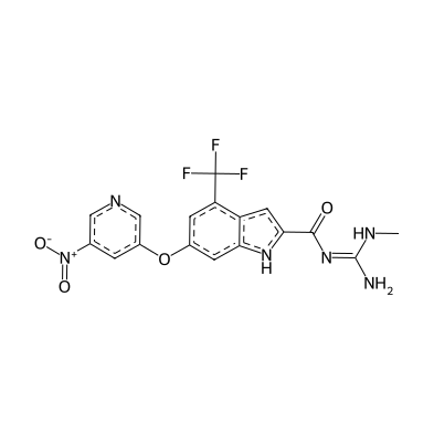 CNC(N)=NC(=O)c1cc2c(C(F)(F)F)cc(Oc3cncc([N+](=O)[O-])c3)cc2[nH]1